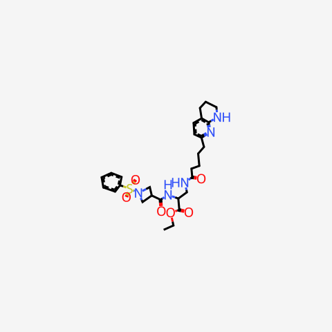 CCOC(=O)C(CNC(=O)CCCCc1ccc2c(n1)NCCC2)NC(=O)C1CN(S(=O)(=O)c2ccccc2)C1